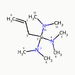 C=CC[Si](N(C)C)(N(C)C)N(C)C